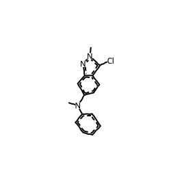 CN(c1ccccc1)c1ccc2c(Cl)n(C)nc2c1